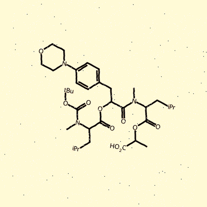 CC(C)CC(C(=O)OC(Cc1ccc(N2CCOCC2)cc1)C(=O)N(C)C(CC(C)C)C(=O)OC(C)C(=O)O)N(C)C(=O)OC(C)(C)C